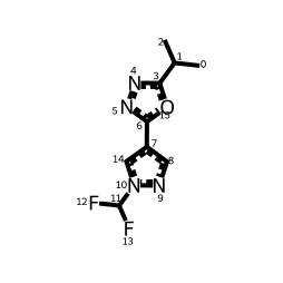 CC(C)c1nnc(-c2cnn(C(F)F)c2)o1